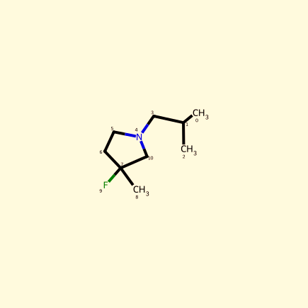 CC(C)CN1CCC(C)(F)C1